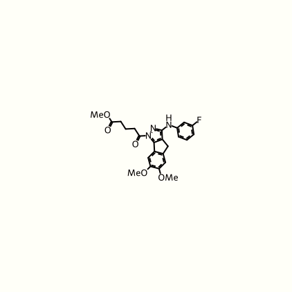 COC(=O)CCCC(=O)n1nc(Nc2cccc(F)c2)c2c1-c1cc(OC)c(OC)cc1C2